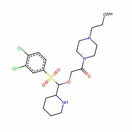 COCCN1CCN(C(=O)COC(C2CCCCN2)S(=O)(=O)c2ccc(Cl)c(Cl)c2)CC1